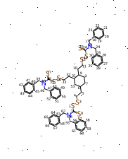 S=C(SSCCC1CCC(CCSSC(=S)N(Cc2ccccc2)Cc2ccccc2)C(CCSSC(=S)N(Cc2ccccc2)Cc2ccccc2)C1)N(Cc1ccccc1)Cc1ccccc1